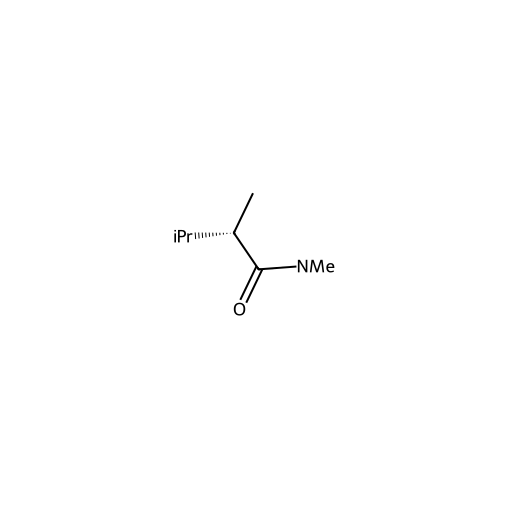 CNC(=O)[C@@H](C)C(C)C